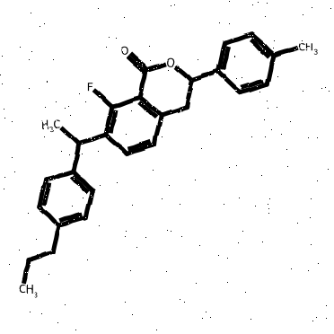 CCCc1ccc(C(C)c2ccc3c(c2F)C(=O)OC(c2ccc(C)cc2)C3)cc1